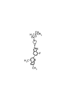 Cc1cn2nc(-c3cc(F)c4nn(C5C6CN(C(=O)OC(C)(C)C)CC65)cc4c3)cc(C)c2n1